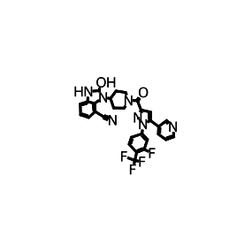 N#Cc1cccc2c1N(C1CCN(C(=O)c3cc(-c4cccnc4)n(-c4ccc(C(F)(F)F)c(F)c4)n3)CC1)C(O)N2